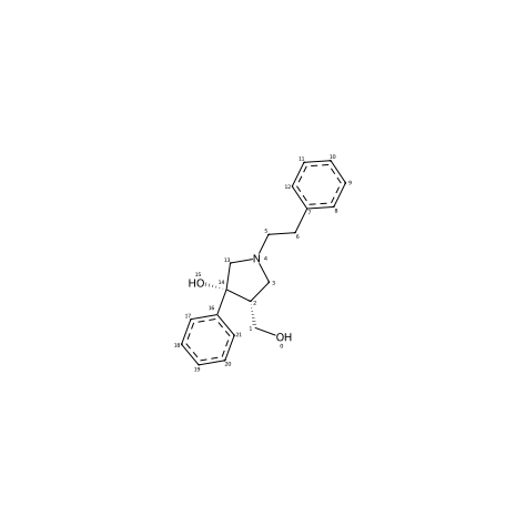 OC[C@H]1CN(CCc2ccccc2)C[C@]1(O)c1ccccc1